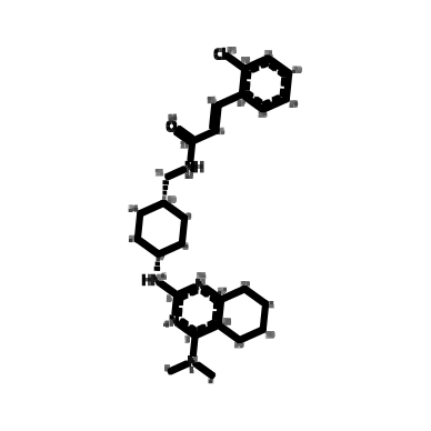 CN(C)c1nc(N[C@H]2CC[C@@H](CNC(=O)/C=C/c3ccccc3Cl)CC2)nc2c1CCCC2